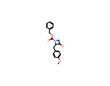 COc1ccc(CC2C(=O)CN2C(=O)OCc2ccccc2)cc1